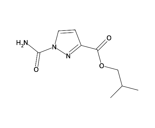 CC(C)COC(=O)c1ccn(C(N)=O)n1